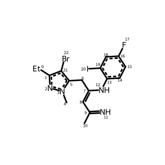 CCc1nn(C)c(C/C(=C/C(C)=N)Nc2ccc(F)cc2I)c1Br